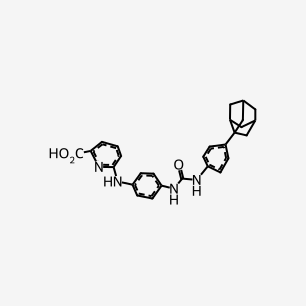 O=C(Nc1ccc(Nc2cccc(C(=O)O)n2)cc1)Nc1ccc(C23CC4CC(CC2C4)C3)cc1